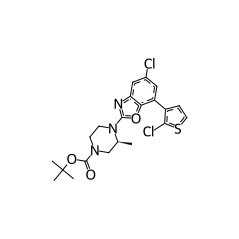 C[C@H]1CN(C(=O)OC(C)(C)C)CCN1c1nc2cc(Cl)cc(-c3ccsc3Cl)c2o1